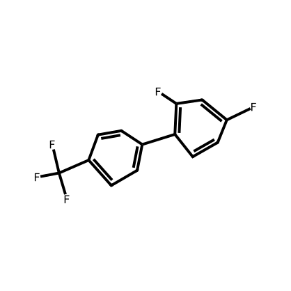 Fc1ccc(-c2ccc(C(F)(F)F)cc2)c(F)c1